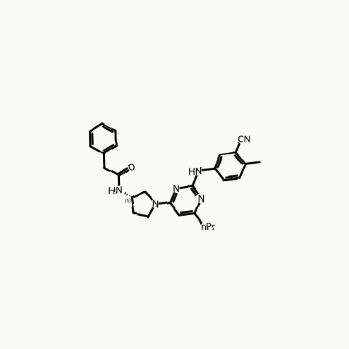 CCCc1cc(N2CC[C@H](NC(=O)Cc3ccccc3)C2)nc(Nc2ccc(C)c(C#N)c2)n1